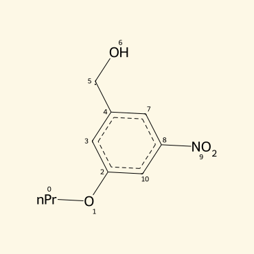 CCCOc1cc([CH]O)cc([N+](=O)[O-])c1